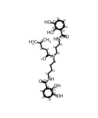 CC(C)CCC(=O)N(CCCCNC(=O)c1cccc(O)c1O)CCCNC(=O)c1cccc(O)c1O